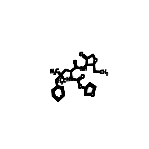 CCC1OCC(=O)C1NC(=O)[C@H](CC(C)(C)Cc1ccccc1)NC(=O)Oc1ccoc1